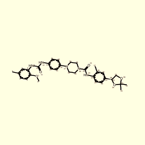 COc1ccc(C)cc1NC(=O)Nc1ccc(N2CCN(C(=O)Nc3ccc([C@H]4COC(C)(C)O4)cc3C)CC2)cc1